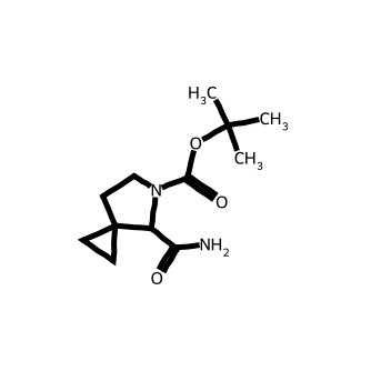 CC(C)(C)OC(=O)N1CCC2(CC2)C1C(N)=O